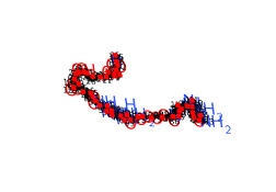 CO[C@@H](CC1CCCC(C(=O)C(=O)N2CCCCC2)O1)/C(C)=C/C=C/C=C/[C@@H](C)C[C@@H](C)C(=O)C[C@H](O)/C(C)=C/[C@@H](C)[C@@H](C[C@@H](CC[C@H]1CC[C@H](OC(=O)NCc2cnc(N3CCN(c4ncc(C(=O)NCCOCCOCCOCCOCCC(=O)N5CCc6cc(Cn7nc(-c8ccc9oc(N)nc9c8)c8c(N)ncnc87)ccc6C5)c(N)n4)CC3)nc2)CC1)OC=O)OC